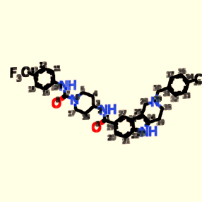 O=C(NC1CCN(C(=O)Nc2ccc(C(F)(F)F)cc2)CC1)c1ccc2[nH]c3c(c2c1)CN(Cc1ccc(C(F)(F)F)cc1)CC3